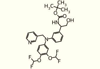 CC(C)(C)OC(=O)NC(CO)c1cccc(N(Cc2cccnc2)c2ccc(OC(F)F)c(OC(F)F)c2)c1